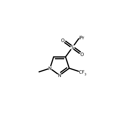 CC(C)S(=O)(=O)c1cn(C)nc1C(F)(F)F